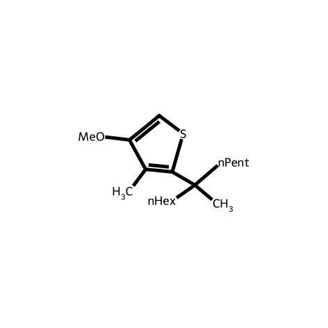 CCCCCCC(C)(CCCCC)c1scc(OC)c1C